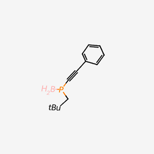 BP(C#Cc1ccccc1)CC(C)(C)C